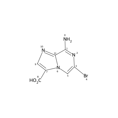 Nc1nc(Br)cn2c(C(=O)O)cnc12